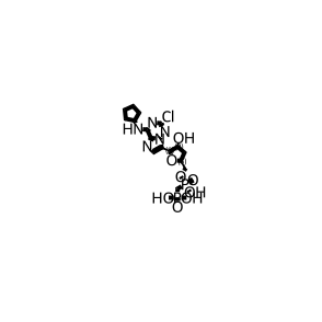 O=P(O)(O)CP(=O)(O)OC[C@@H]1C[C@@H](O)[C@H](c2cnc3c(NC4CCCC4)nc(Cl)nn23)O1